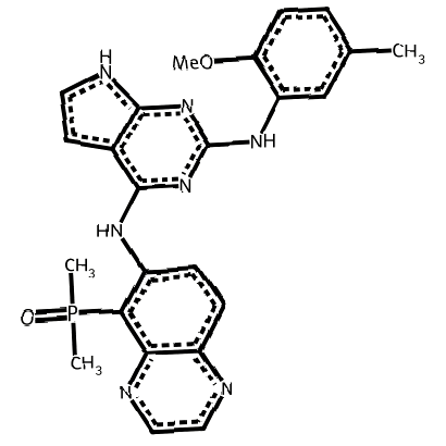 COc1ccc(C)cc1Nc1nc(Nc2ccc3nccnc3c2P(C)(C)=O)c2cc[nH]c2n1